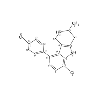 CC1Cc2[nH]c3c(Cl)ccc(-c4ccc(Cl)cc4)c3c2CN1